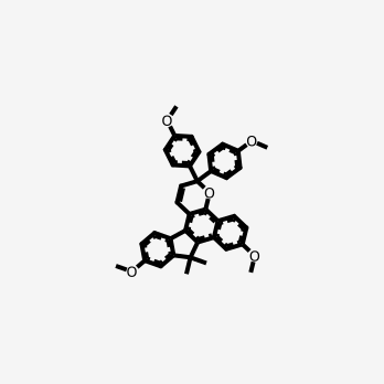 COc1ccc(C2(c3ccc(OC)cc3)C=Cc3c4c(c5cc(OC)ccc5c3O2)C(C)(C)c2cc(OC)ccc2-4)cc1